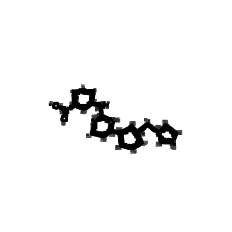 O=[N+]([O-])c1cccc(Nc2nccc(-c3cccc(Cn4ccnc4)c3)n2)c1